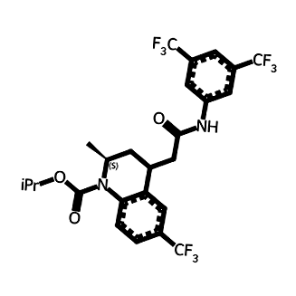 CC(C)OC(=O)N1c2ccc(C(F)(F)F)cc2C(CC(=O)Nc2cc(C(F)(F)F)cc(C(F)(F)F)c2)C[C@@H]1C